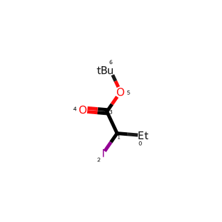 CCC(I)C(=O)OC(C)(C)C